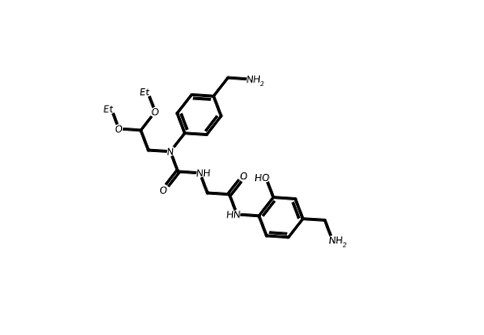 CCOC(CN(C(=O)NCC(=O)Nc1ccc(CN)cc1O)c1ccc(CN)cc1)OCC